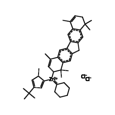 CC1=CCC(C)(C)c2cc3c(cc21)-c1cc2c(cc1C3)C(C)(C)[CH]([Zr+2]([C]1=CC(C(C)(C)C)=CC1C)=[C]1CCCCC1)C=C2C.[Cl-].[Cl-]